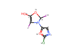 OC1=C(I)N(c2cnc(Cl)o2)C(I)O1